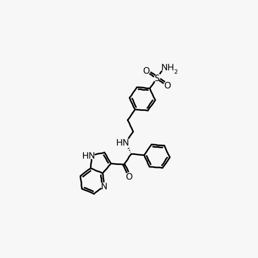 NS(=O)(=O)c1ccc(CCN[C@@H](C(=O)c2c[nH]c3cccnc23)c2ccccc2)cc1